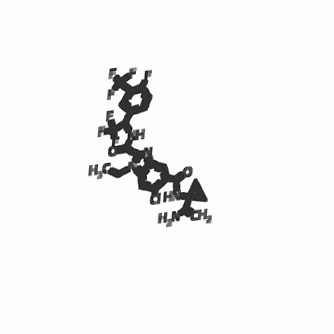 C=C(N)C1(NC(=O)c2cc3nc(C(=O)NC(c4ccc(F)c(C(F)(F)F)c4)C(F)(F)F)n(CC)c3cc2Cl)CC1